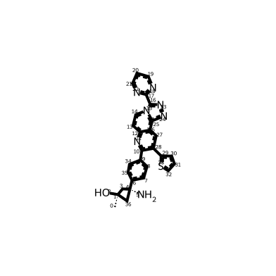 C[C@]1(O)C[C@@](N)(c2ccc(-c3nc4ccn5c(-c6ncccn6)nnc5c4cc3-c3cccs3)cc2)C1